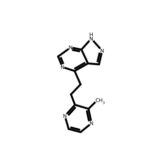 Cc1nccnc1CCc1ncnc2[nH]ncc12